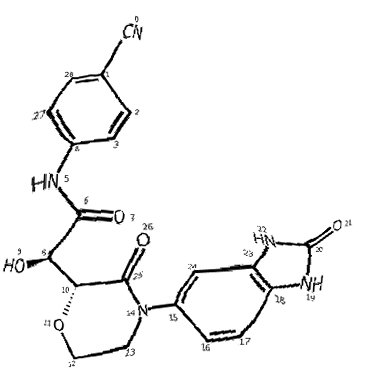 N#Cc1ccc(NC(=O)[C@H](O)[C@H]2OCCN(c3ccc4[nH]c(=O)[nH]c4c3)C2=O)cc1